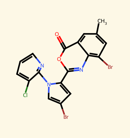 Cc1cc(Br)c2nc(-c3cc(Br)cn3-c3ncccc3Cl)oc(=O)c2c1